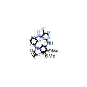 C=CC(=O)Nc1cccc(Nc2nc(Nc3ccc(OC)c(OC)c3OC)ncc2C)c1